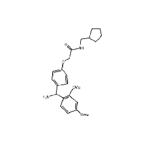 COc1ccc(C(N)c2ccc(OCC(=O)NCC3CCCC3)cc2)c(OC)c1